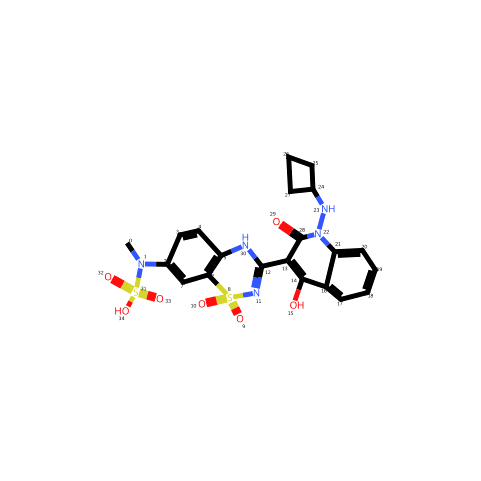 CN(c1ccc2c(c1)S(=O)(=O)N=C(c1c(O)c3ccccc3n(NC3CCC3)c1=O)N2)S(=O)(=O)O